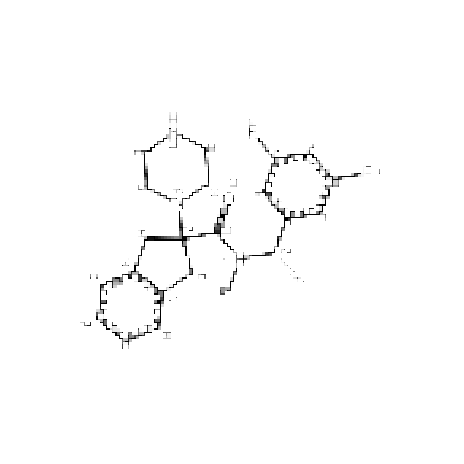 C[C@@H](c1cc(F)cc(F)c1)N(C)C(=O)C1(N2CCNCC2)Cc2ccccc2C1